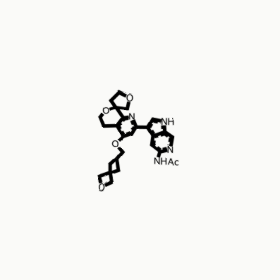 CC(=O)Nc1cc2c(-c3cc(OCC4CC5(COC5)C4)c4c(n3)C3(CCOC3)OCC4)c[nH]c2cn1